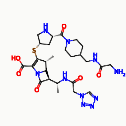 C[C@H]1C(S[C@@H]2CN[C@H](C(=O)N3CCC(CNC(=O)CN)CC3)C2)=C(C(=O)O)N2C(=O)[C@H]([C@@H](C)NC(=O)Cn3cnnn3)C12